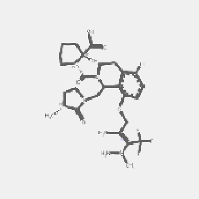 C[C@@H]1CCN(CC2c3c(OC/C(N)=C(/N(C)N)C(F)(F)F)ccc(Cl)c3CCN2C(=O)[C@@H]2CCCC[C@]2(C)C(=O)O)C1=O